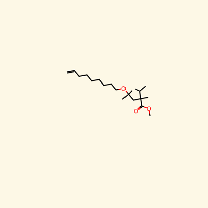 C=CCCCCCCCOC(C)(C)CC(C)(C(=O)OC)C(C)C